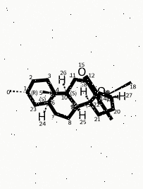 C[C@@H]1CC[C@@]2(C)[C@@H](CC[C@@H]3[C@@H]2CC[C@]24C(=O)O[C@H](C)[C@H]2CC[C@@H]34)C1